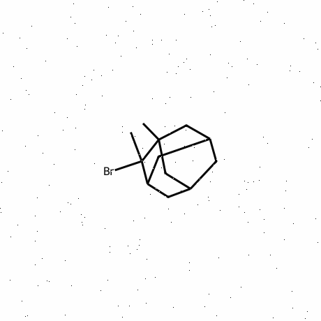 CC12CC3CC(CC(C3)C1(C)Br)C2